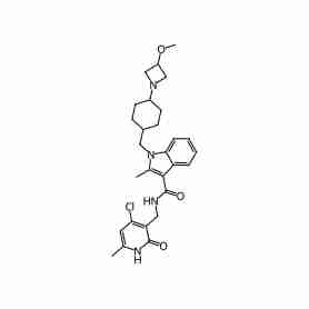 COC1CN(C2CCC(Cn3c(C)c(C(=O)NCc4c(Cl)cc(C)[nH]c4=O)c4ccccc43)CC2)C1